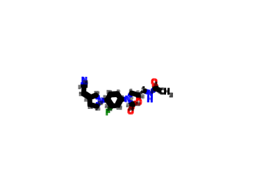 CC(=O)NC[C@H]1CN(c2ccc(N3CCC(=CC#N)C3)c(F)c2)C(=O)O1